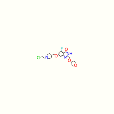 O=c1[nH]c(COC2CCOCC2)nc2cc(OCC3CCN(CCCl)CC3)cc(F)c12